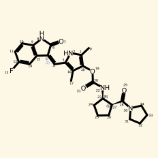 Cc1[nH]c(/C=C2\C(=O)Nc3ccc(F)cc32)c(C)c1OC(=O)N[C@@H]1CCC[C@@H]1C(=O)N1CCCC1